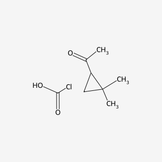 CC(=O)C1CC1(C)C.O=C(O)Cl